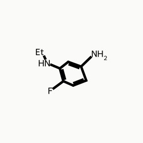 CCNc1cc(N)ccc1F